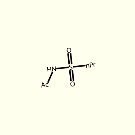 [CH2]CCS(=O)(=O)NC(C)=O